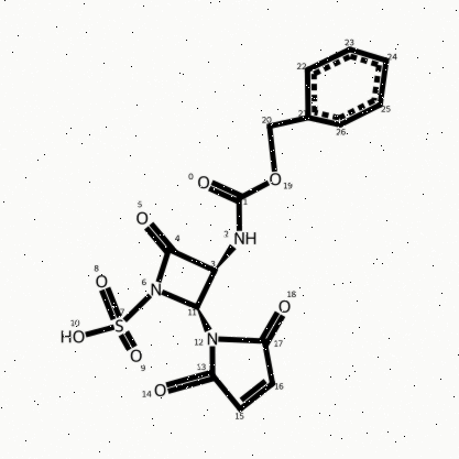 O=C(N[C@@H]1C(=O)N(S(=O)(=O)O)[C@@H]1N1C(=O)C=CC1=O)OCc1ccccc1